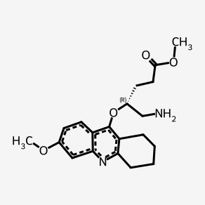 COC(=O)CC[C@H](CN)Oc1c2c(nc3cc(OC)ccc13)CCCC2